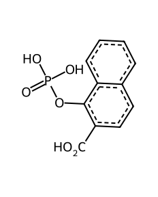 O=C(O)c1ccc2ccccc2c1OP(=O)(O)O